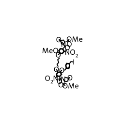 COC(=O)[C@@H]1CC(=O)CN1C(=O)c1cc(OC)c(OCCCCCOc2cc([N+](=O)[O-])c(C(=O)N3CC(=O)C[C@H]3C(=O)OC)cc2OCc2ccc(CI)cc2)cc1[N+](=O)[O-]